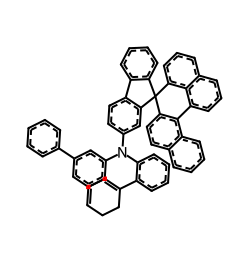 C1=CCCC(c2ccccc2N(c2cccc(-c3ccccc3)c2)c2ccc3c(c2)C2(c4ccccc4-3)c3ccc4ccccc4c3-c3cccc4cccc2c34)=C1